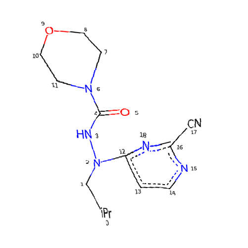 CC(C)CN(NC(=O)N1CCOCC1)c1ccnc(C#N)n1